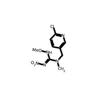 CON/C(=N\[N+](=O)[O-])N(C)Cc1ccc(Cl)nc1